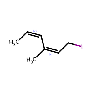 C/C=C\C(C)=C/CI